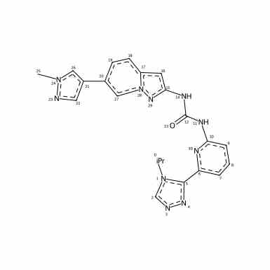 CC(C)n1cnnc1-c1cccc(NC(=O)Nc2cc3ccc(-c4cnn(C)c4)cn3n2)n1